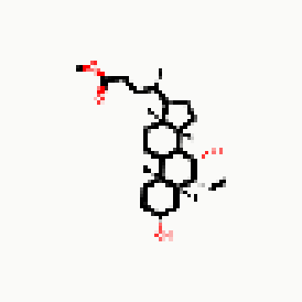 CC[C@H]1[C@@H](O)C2C(CC[C@@]3(C)[C@@H]2CC[C@@H]3[C@H](C)CCC(=O)OC)[C@@]2(C)CC[C@@H](O)C[C@@H]12